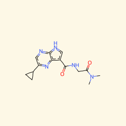 CN(C)C(=O)CNC(=O)c1c[nH]c2ncc(C3CC3)nc12